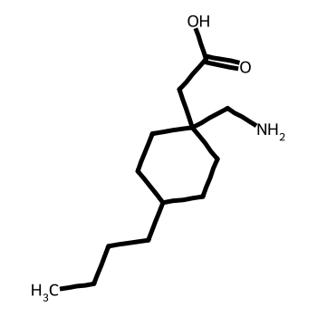 CCCCC1CCC(CN)(CC(=O)O)CC1